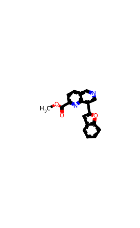 COC(=O)c1ccc2cncc(-c3cc4ccccc4o3)c2n1